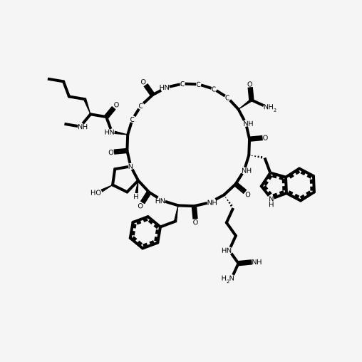 CCCC[C@H](NC)C(=O)N[C@H]1CCC(=O)NCCCC[C@@H](C(N)=O)NC(=O)[C@H](Cc2c[nH]c3ccccc23)NC(=O)[C@H](CCCNC(=N)N)NC(=O)[C@@H](Cc2ccccc2)NC(=O)[C@@H]2C[C@@H](O)CN2C1=O